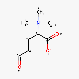 C[N+](C)(C)C(CCC=O)C(=O)[O-]